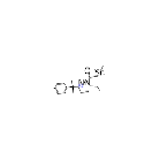 CCCN(/N=C(\CC)C(C)(C)c1ccccc1)C(=O)[CH2][Sn]([CH3])([CH3])[CH3]